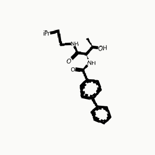 CC(C)C[CH]NC(=O)[C@@H](NC(=O)c1ccc(-c2ccccc2)cc1)[C@@H](C)O